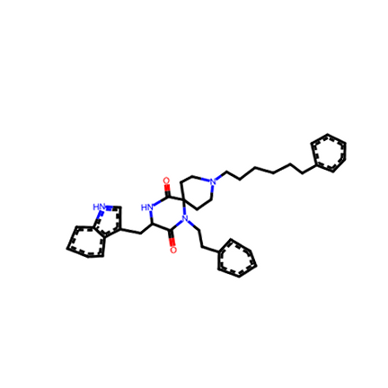 O=C1C(Cc2c[nH]c3ccccc23)NC(=O)C2(CCN(CCCCCCc3ccccc3)CC2)N1CCc1ccccc1